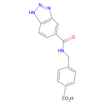 O=C(O)c1ccc(CNC(=O)c2ccc3[nH]nnc3c2)cc1